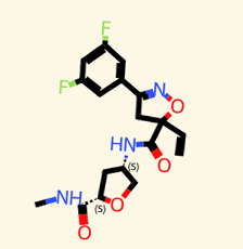 C=CC1(C(=O)N[C@@H]2CO[C@H](C(=O)NC)C2)CC(c2cc(F)cc(F)c2)=NO1